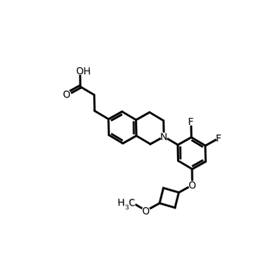 COC1CC(Oc2cc(F)c(F)c(N3CCc4cc(CCC(=O)O)ccc4C3)c2)C1